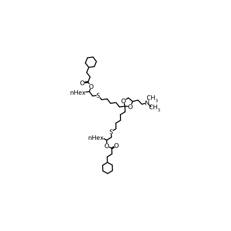 CCCCCCC(CSCCCCCC1(CCCCCSCC(CCCCCC)OC(=O)CCC2CCCCC2)OCC(CCN(C)C)O1)OC(=O)CCC1CCCCC1